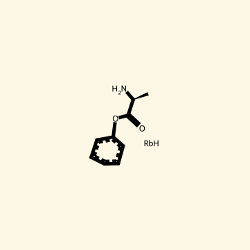 C[C@H](N)C(=O)Oc1ccccc1.[RbH]